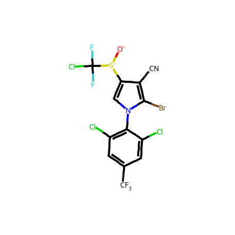 N#Cc1c([S+]([O-])C(F)(F)Cl)cn(-c2c(Cl)cc(C(F)(F)F)cc2Cl)c1Br